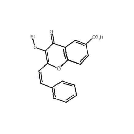 CCOc1c(/C=C\c2ccccc2)oc2ccc(C(=O)O)cc2c1=O